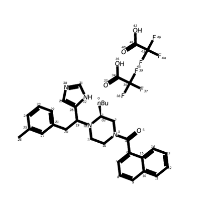 CCCC[C@H]1CN(C(=O)c2cccc3ccccc23)CCN1C(Cc1cccc(C)c1)c1cnc[nH]1.O=C(O)C(F)(F)F.O=C(O)C(F)(F)F